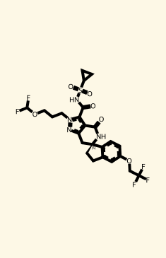 O=C1N[C@@]2(CCc3cc(OCC(F)(F)F)ccc32)Cc2nn(CCCOC(F)F)c(C(=O)NS(=O)(=O)C3CC3)c21